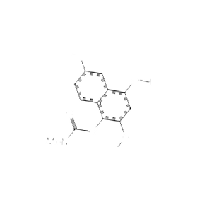 CCOc1cc(OCC)c2cc(CC)ccc2c1OC(=O)NC